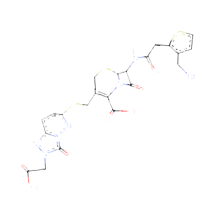 NCc1ccsc1CC(=O)NC1C(=O)N2C(C(=O)O)=C(CSc3ccc4nn(CC(=O)O)c(=O)n4n3)CS[C@@H]12